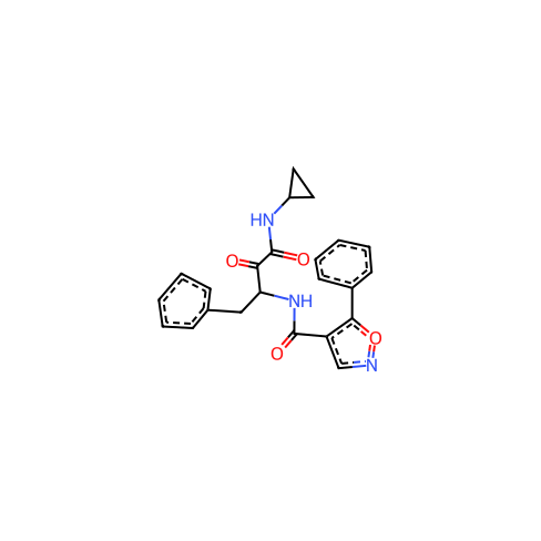 O=C(NC1CC1)C(=O)C(Cc1ccccc1)NC(=O)c1cnoc1-c1ccccc1